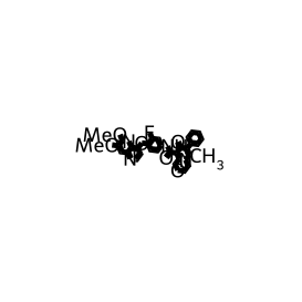 COc1cc2nccc(Oc3ccc(NC(=O)c4c5n(c(C)c(C6=CCCCC6)c4=O)CCOC5)cc3F)c2nc1OC